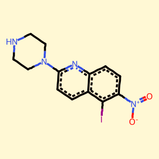 O=[N+]([O-])c1ccc2nc(N3CCNCC3)ccc2c1I